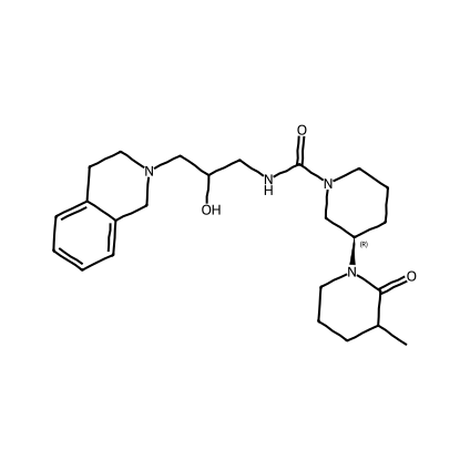 CC1CCCN([C@@H]2CCCN(C(=O)NCC(O)CN3CCc4ccccc4C3)C2)C1=O